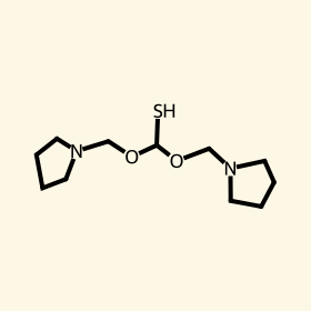 SC(OCN1CCCC1)OCN1CCCC1